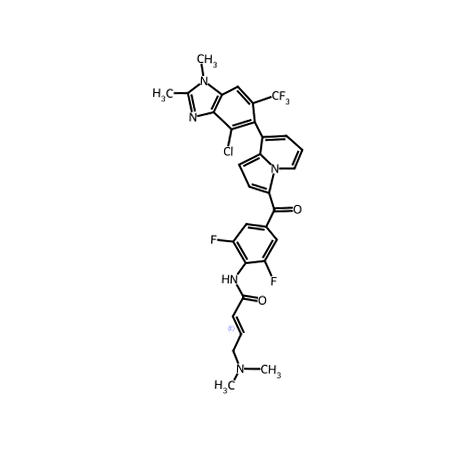 Cc1nc2c(Cl)c(-c3cccn4c(C(=O)c5cc(F)c(NC(=O)/C=C/CN(C)C)c(F)c5)ccc34)c(C(F)(F)F)cc2n1C